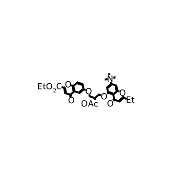 CCOC(=O)c1cc(=O)c2cc(OCC(COc3cc([N+](C)(C)C)cc4oc(CC)cc(=O)c34)OC(C)=O)ccc2o1